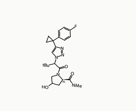 CNC(=O)[C@H]1CC(O)CN1C(=O)C(n1cc(C2(c3ccc(F)cc3)CC2)nn1)C(C)(C)C